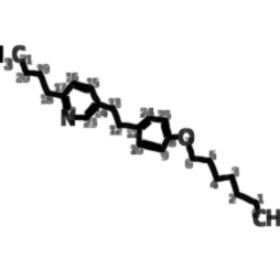 CCCCCCCOc1ccc(CCc2ccc(CCCC)nc2)cc1